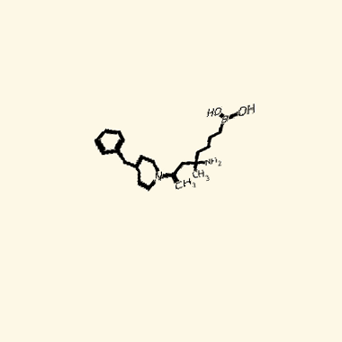 CC(CC(C)(N)CCCCB(O)O)N1CCC(Cc2ccccc2)CC1